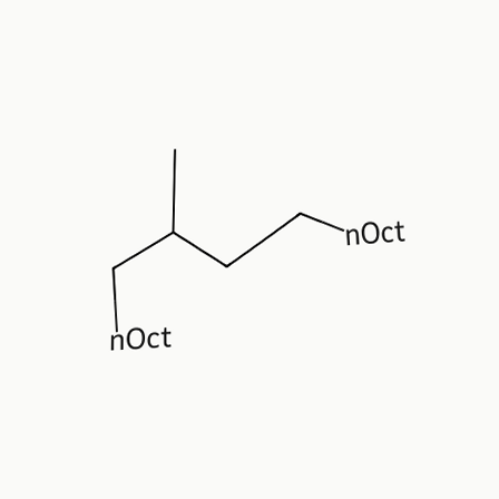 [CH2]CCCCCCCCC(C)CCCCCCCCCC